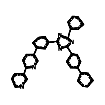 c1ccc(-c2ccc(-c3nc(-c4ccccc4)nc(-c4cccc(-c5ccc(-c6cccnc6)nc5)c4)n3)cc2)cc1